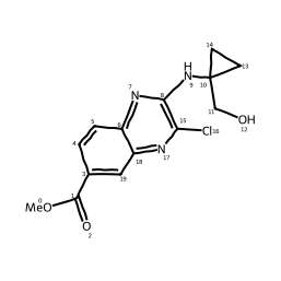 COC(=O)c1ccc2nc(NC3(CO)CC3)c(Cl)nc2c1